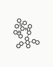 c1ccc([Si](c2ccccc2)(c2ccccc2)c2cc(-n3c4ccccc4c4ccccc43)cc(-n3c4ccccc4c4ccc(-c5ccc6c(-c7ccc8ccccc8c7)c7ccccc7c(-c7ccc8ccccc8c7)c6c5)cc43)c2)cc1